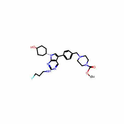 CC(C)(C)OC(=O)N1CCN(Cc2ccc(-c3cn([C@H]4CC[C@H](O)CC4)c4nc(NCCCF)ncc34)cc2)CC1